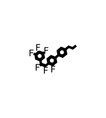 CCCc1ccc(-c2ccc(/C(F)=C(/F)c3cc(F)c(F)c(F)c3)c(F)c2)cc1